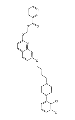 O=C(OCOc1ccc2ccc(OCCCCN3CCN(c4cccc(Cl)c4Cl)CC3)cc2n1)c1ccccc1